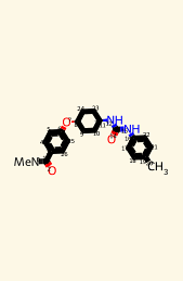 CNC(=O)c1ccc(O[C@H]2CC[C@H](NC(=O)Nc3ccc(C)cc3)CC2)cc1